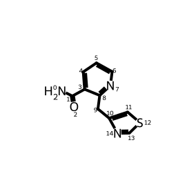 NC(=O)c1cccnc1Cc1cscn1